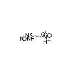 CC(C)c1cccc(C(C)C)c1NC(=O)CCCCCSc1nc2cnccc2[nH]1